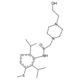 CSc1ccc(C(C)C)c(NC(=O)CN2CCN(CCO)CC2)c1C(C)C